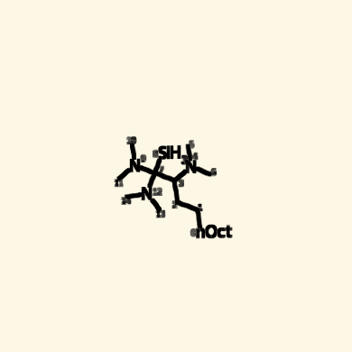 CCCCCCCCCCC(N(C)C)C([SiH3])(N(C)C)N(C)C